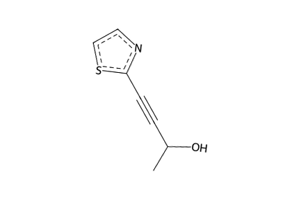 CC(O)C#Cc1nccs1